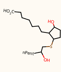 CCCCCC(O)CSC1CCC(O)C1CCCCCCC(=O)O